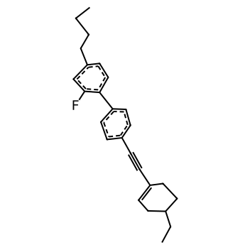 CCCCc1ccc(-c2ccc(C#CC3=CCC(CC)CC3)cc2)c(F)c1